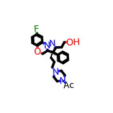 CC(=O)N1CCN(CCC[C@]2(c3ccccc3)C(CCO)=NN3c4cc(F)ccc4OCC32)CC1